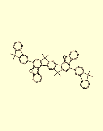 CC1(C)c2ccccc2-c2cc(-c3cc4c(c5c3oc3ccccc35)-c3cc5c(cc3C4(C)C)-c3c(cc(-c4ccc6c(c4)-c4ccccc4C6(C)C)c4c3oc3ccccc34)C5(C)C)ccc21